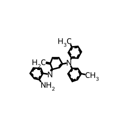 C=C1C=CC(N(c2cccc(C)c2)c2cccc(C)c2)=C/C1=N/c1ccccc1N